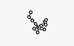 c1ccc(-c2cccc(-c3ccc(-c4ccc(N(c5ccc(-c6cccc7c6sc6ccccc67)cc5)c5c(-c6ccc7ccccc7c6)c6ccccc6c6ccccc56)cc4)cc3)c2)cc1